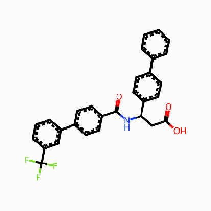 O=C(O)CC(NC(=O)c1ccc(-c2cccc(C(F)(F)F)c2)cc1)c1ccc(-c2ccccc2)cc1